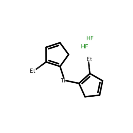 CCC1=[C]([Ti][C]2=C(CC)C=CC2)CC=C1.F.F